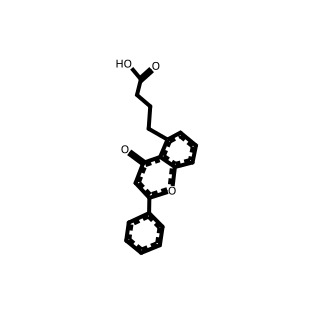 O=C(O)CCCc1cccc2oc(-c3ccccc3)cc(=O)c12